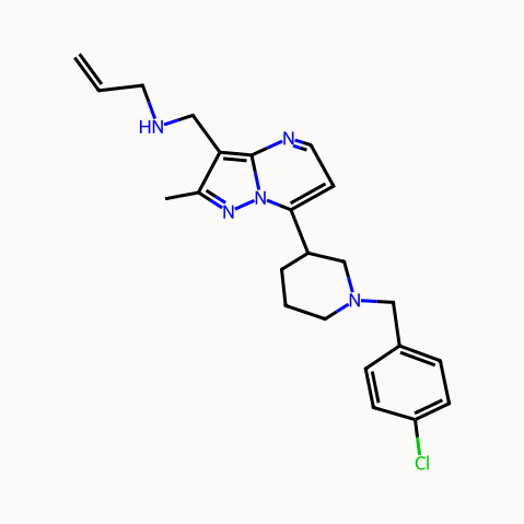 C=CCNCc1c(C)nn2c(C3CCCN(Cc4ccc(Cl)cc4)C3)ccnc12